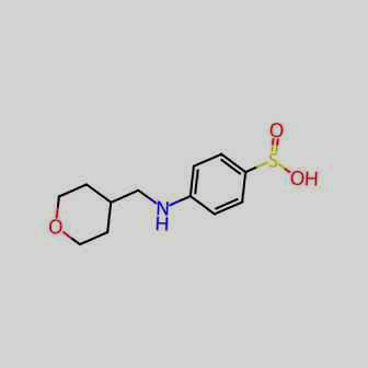 O=S(O)c1ccc(NCC2CCOCC2)cc1